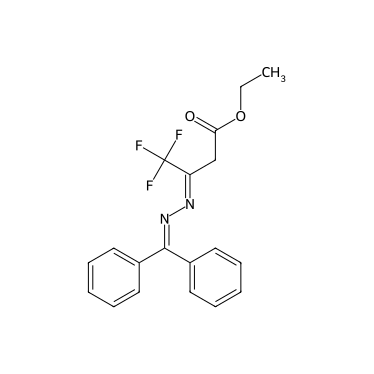 CCOC(=O)CC(=NN=C(c1ccccc1)c1ccccc1)C(F)(F)F